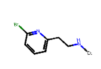 CCNCCc1cccc(Br)n1